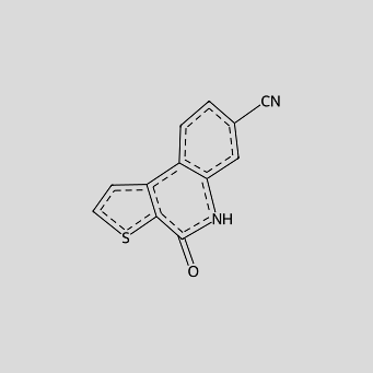 N#Cc1ccc2c(c1)[nH]c(=O)c1sccc12